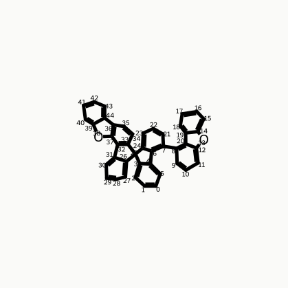 c1ccc2c(c1)-c1c(-c3cccc4oc5ccccc5c34)cccc1C21c2ccccc2-c2c1ccc1c2oc2ccccc21